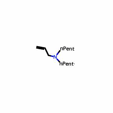 C=CCN([CH]CCCC)CCCCC